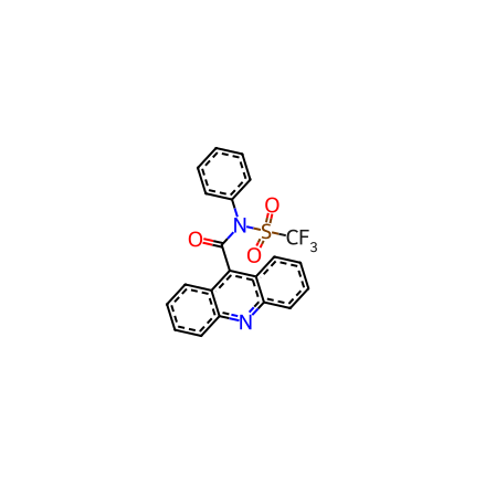 O=C(c1c2ccccc2nc2ccccc12)N(c1ccccc1)S(=O)(=O)C(F)(F)F